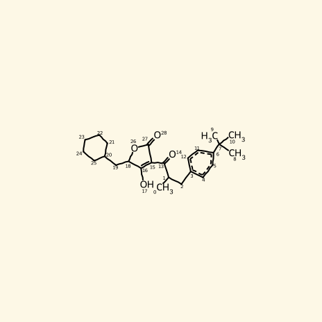 CC(Cc1ccc(C(C)(C)C)cc1)C(=O)C1=C(O)C(CC2CCCCC2)OC1=O